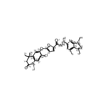 Cc1cc(NNC(=O)c2ccc(Oc3cc4c(cc3Cl)N(C)C(=O)CC4(C)C)o2)nc2c1c(C)nn2C